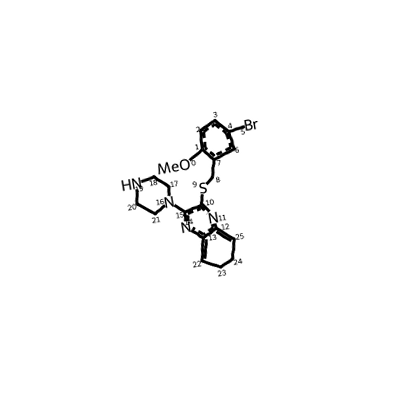 COc1ccc(Br)cc1CSc1nc2c(nc1N1CCNCC1)=CCCC=2